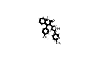 Cc1ccc(-c2c(C3=NNC(c4ccc(C)nc4)C3)c(=O)[nH]c3ccccc23)cc1